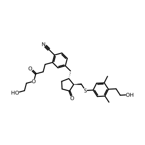 Cc1cc(SC[C@H]2C(=O)CC[C@@H]2Cc2ccc(C#N)c(CCC(=O)OCCO)c2)cc(C)c1CCO